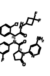 Nc1ccnc(N2C(=O)CC[C@H]2C(=O)N(c2cccc(F)c2)[C@@H](C(=O)NC2CC(F)(F)C2)c2ccccc2Cl)c1